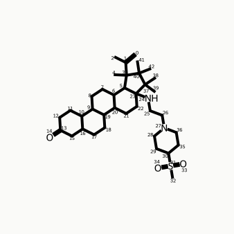 C=C(C)C1(C)C2C3CCC4C5CCC(=O)CC5CCC4C3CCC2(NCCN2CCC(S(C)(=O)=O)CC2)C(C)(C)C1(C)C